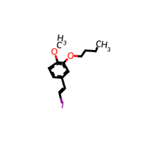 CCCCOc1cc(/C=C/I)ccc1OC